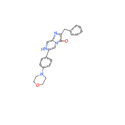 O=c1c(Cc2ccccc2)nc2c[nH]c(-c3ccc(N4CCOCC4)cc3)cn1-2